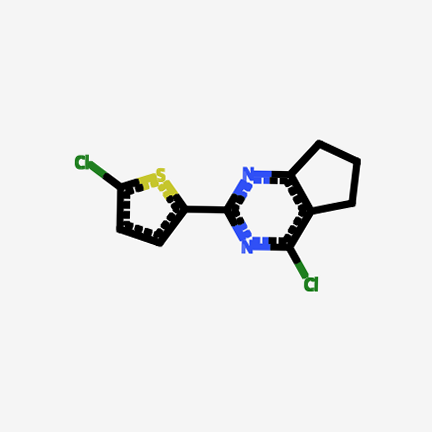 Clc1ccc(-c2nc(Cl)c3c(n2)CCC3)s1